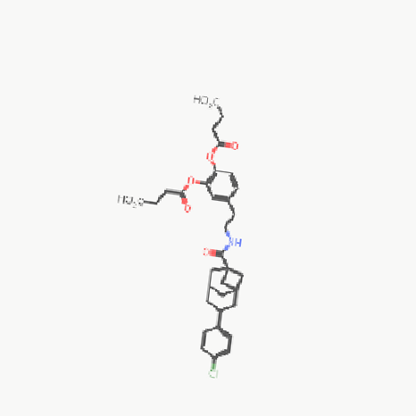 O=C(O)CCC(=O)Oc1ccc(CCNC(=O)C23CC4CC(c5ccc(Cl)cc5)CC(C4)(C2)C3)cc1OC(=O)CCC(=O)O